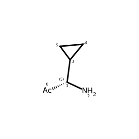 CC(=O)[C@@H](N)C1CC1